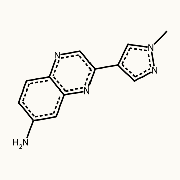 Cn1cc(-c2cnc3ccc(N)cc3n2)cn1